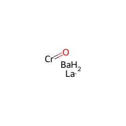 [BaH2].[La].[O]=[Cr]